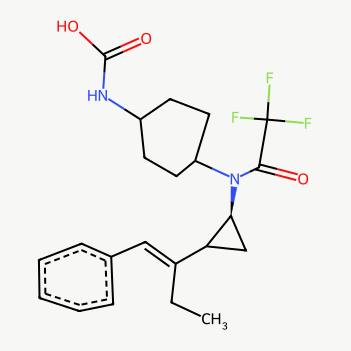 CCC(=Cc1ccccc1)C1C[C@@H]1N(C(=O)C(F)(F)F)C1CCC(NC(=O)O)CC1